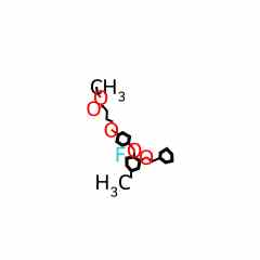 CCOC(=O)CCCOc1ccc(Oc2ccc(CC)cc2OCc2ccccc2)c(F)c1